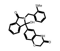 CSc1ccccc1CN1C(=O)c2ccccc2C1(O)c1ccc2c(c1)NC(=O)CO2